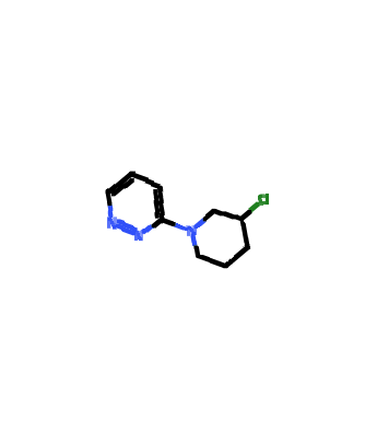 ClC1CCCN(c2cccnn2)C1